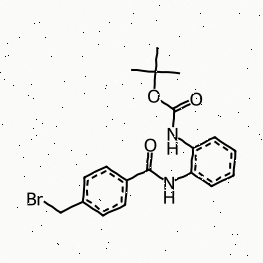 CC(C)(C)OC(=O)Nc1ccccc1NC(=O)c1ccc(CBr)cc1